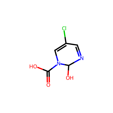 O=C(O)N1C=C(Cl)C=NC1O